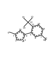 Cc1csc(-c2cc(F)ccc2C(C)(C)C)c1